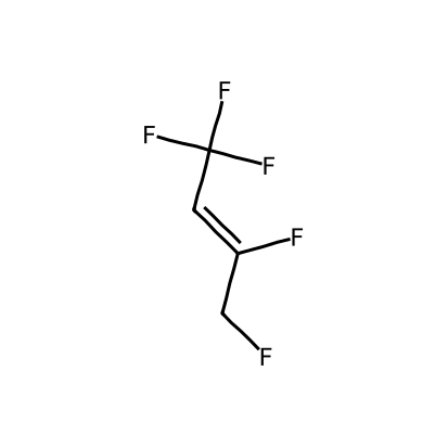 FC/C(F)=C/C(F)(F)F